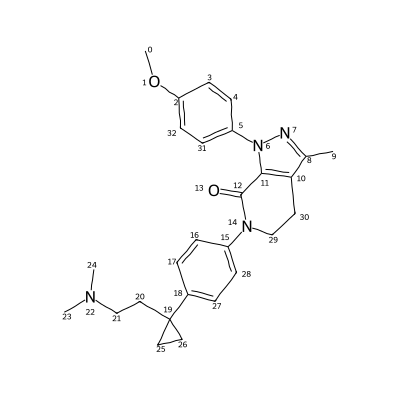 COc1ccc(-n2nc(C)c3c2C(=O)N(c2ccc(C4(CCN(C)C)CC4)cc2)CC3)cc1